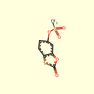 O=c1oc2cc(OS(=O)(=O)C(F)(F)F)ccc2s1